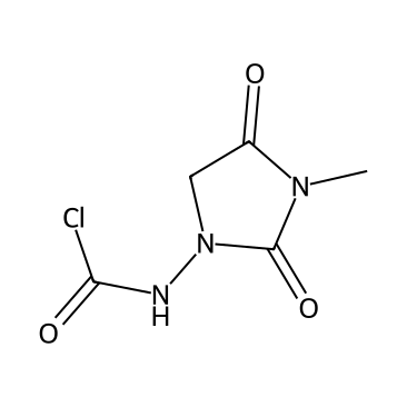 CN1C(=O)CN(NC(=O)Cl)C1=O